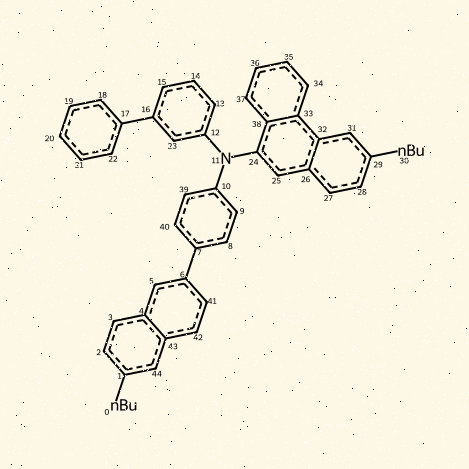 CCCCc1ccc2cc(-c3ccc(N(c4cccc(-c5ccccc5)c4)c4cc5ccc(CCCC)cc5c5ccccc45)cc3)ccc2c1